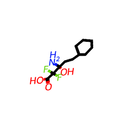 NC(O)(CCC1CCCCC1)C(F)(F)C(=O)O